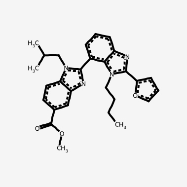 CCCCn1c(-c2ccco2)nc2cccc(-c3nc4cc(C(=O)OC)ccc4n3CC(C)C)c21